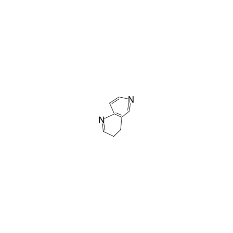 C1=Nc2ccncc2CC1